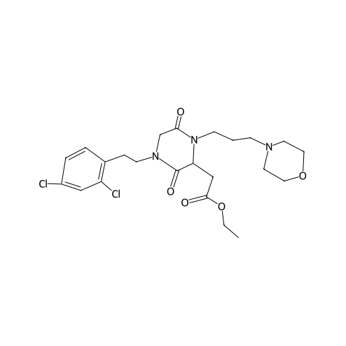 CCOC(=O)CC1C(=O)N(CCc2ccc(Cl)cc2Cl)CC(=O)N1CCCN1CCOCC1